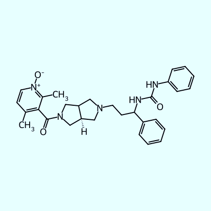 Cc1cc[n+]([O-])c(C)c1C(=O)N1CC2CN(CCC(NC(=O)Nc3ccccc3)c3ccccc3)C[C@H]2C1